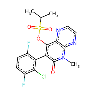 CC(C)S(=O)(=O)Oc1c(-c2c(F)ccc(F)c2Cl)c(=O)n(C)c2nccnc12